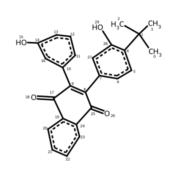 CC(C)(C)c1ccc(C2=C(c3cccc(O)c3)C(=O)c3ccccc3C2=O)cc1O